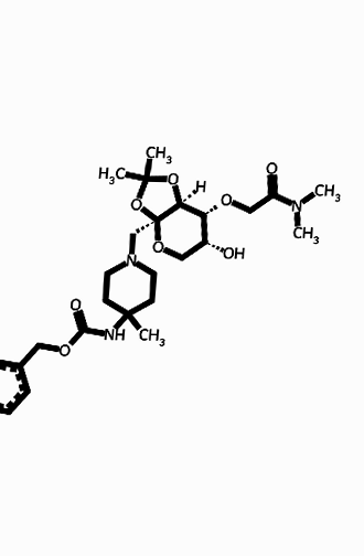 CN(C)C(=O)CO[C@@H]1[C@H](O)CO[C@@]2(CN3CCC(C)(NC(=O)OCc4ccccc4)CC3)OC(C)(C)O[C@@H]12